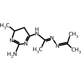 CC(C)=N/N=C(\C)NC1=NC(N)=NC(C)C1